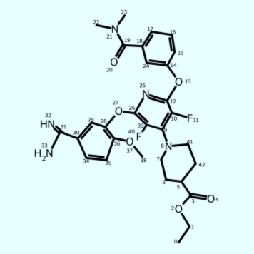 CCOC(=O)C1CCN(c2c(F)c(Oc3cccc(C(=O)N(C)C)c3)nc(Oc3cc(C(=N)N)ccc3OC)c2F)CC1